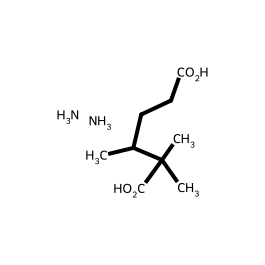 CC(CCC(=O)O)C(C)(C)C(=O)O.N.N